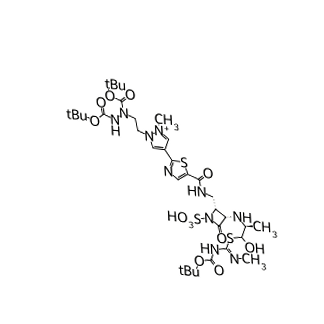 C/N=C(/NC(=O)OC(C)(C)C)SC(O)[C@H](C)N[C@@H]1C(=O)N(S(=O)(=O)O)[C@@H]1CNC(=O)c1cnc(-c2cn(CCN(NC(=O)OC(C)(C)C)C(=O)OC(C)(C)C)[n+](C)c2)s1